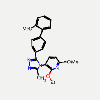 CCOc1nc(OC)ccc1-n1c(C)nnc1-c1ccc(-c2ccccc2OC)cc1